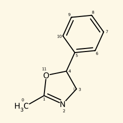 CC1=N[C]C(c2ccccc2)O1